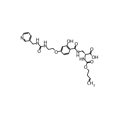 C=CCCOC(=O)N[C@@H](CNC(=O)c1ccc(OCCNC(=O)NCc2cccnc2)cc1O)C(=O)O